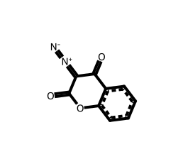 [N-]=[N+]=C1C(=O)Oc2ccccc2C1=O